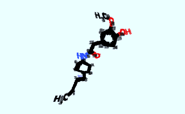 CC/C=C/C1CCC(NC(=O)Cc2ccc(O)c(OC)c2)CC1